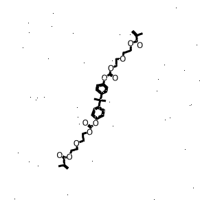 C=C(C)C(=O)OCCOCCOC(=O)Oc1ccc(C(C)(C)c2ccc(OC(=O)OCCOCCOC(=O)C(=C)C)cc2)cc1